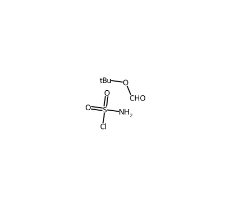 CC(C)(C)OC=O.NS(=O)(=O)Cl